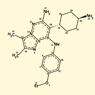 CCOc1ccc(Nc2c3nc(C)c(C)n3nc(N)c2[C@H]2CC[C@H](N)CC2)cc1